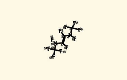 F/C(=C(/F)N(F)C(F)(F)F)N(F)C(F)(F)F